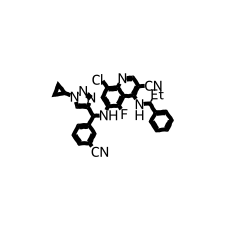 CC[C@@H](Nc1c(C#N)cnc2c(Cl)cc(NC(c3cccc(C#N)c3)c3cn(C4CC4)nn3)c(F)c12)c1ccccc1